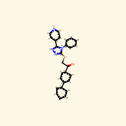 O=C(CSc1nnc(-c2ccncc2)n1-c1ccccc1)c1ccc(-c2ccccc2)cc1